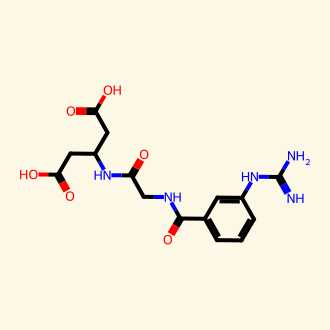 N=C(N)Nc1cccc(C(=O)NCC(=O)NC(CC(=O)O)CC(=O)O)c1